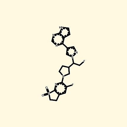 O=S1(=O)CCc2cc(F)c(N3CCC(C(CF)n4cc(-c5ncnc6[nH]ccc56)cn4)C3)nc21